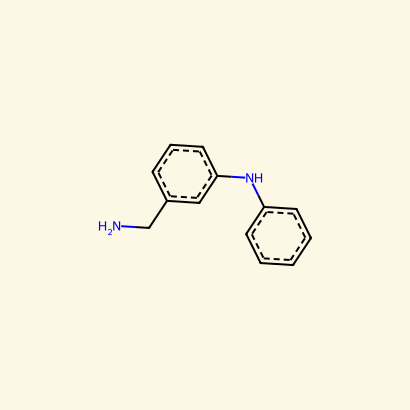 NCc1cccc(Nc2ccccc2)c1